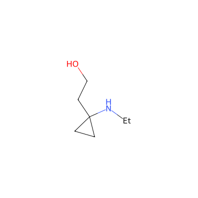 CCNC1(CCO)CC1